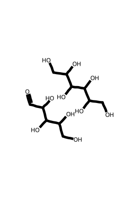 O=CC(O)C(O)C(O)CO.OCC(O)C(O)C(O)C(O)CO